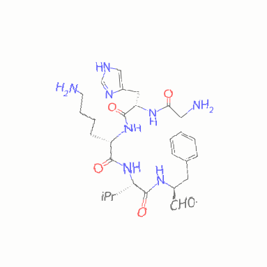 CC(C)[C@H](NC(=O)[C@H](CCCCN)NC(=O)[C@H](Cc1c[nH]cn1)NC(=O)CN)C(=O)N[C@H]([C]=O)Cc1ccccc1